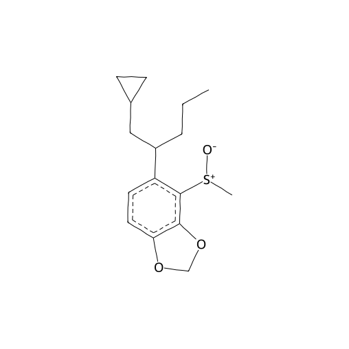 CCCC(CC1CC1)c1ccc2c(c1[S+](C)[O-])OCO2